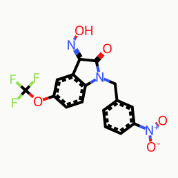 O=C1/C(=N\O)c2cc(OC(F)(F)F)ccc2N1Cc1cccc([N+](=O)[O-])c1